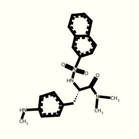 CNc1ccc(C[C@H](NS(=O)(=O)c2ccc3ccccc3c2)C(=O)N(C)C)cc1